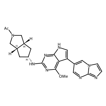 COc1nc(N[C@@H]2C[C@@H]3CN(C(C)=O)C[C@@H]3C2)nc2[nH]cc(-c3cnc4nccn4c3)c12